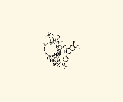 COc1cc2cc(-c3ccc(OC(C)C)cc3)nc(O[C@@H]3C[C@H]4C(=O)N[C@]5(C(=O)NS(=O)(=O)C6(C)CC6)C[C@H]5/C=C\CC[C@@H](C)C[C@@H](C)[C@H](N(C(=O)O)[C@H]5CC6C[C@H]6C5)C(=O)N4C3)c2cc1F